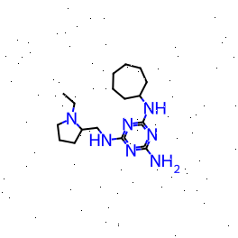 CCN1CCCC1CNc1nc(N)nc(NC2CCCCCC2)n1